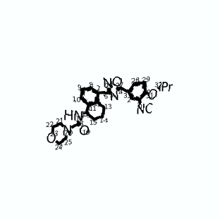 [C-]#[N+]c1cc(-c2nc(-c3cccc4c3CCC[C@@H]4NC(=O)N3CCOCC3)no2)ccc1OC(C)C